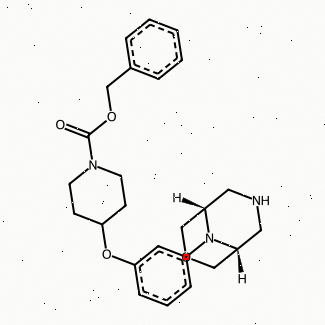 O=C(OCc1ccccc1)N1CCC(Oc2cccc(N3[C@@H]4CNC[C@H]3COC4)c2)CC1